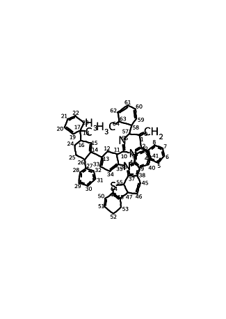 C=C1C(c2ccccc2)=NC(C2CC(C3=CC(C4(C)C=CC=CC4)CCC3c3ccccc3)=CC=C2n2c3c(c4ccccc42)C=CC2C4=C(C=CCC4)SC32)=NC1C1C=CC=CC1C